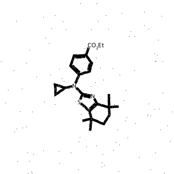 CCOC(=O)c1ccc(N(c2nc3c(s2)C(C)(C)CCC3(C)C)C2CC2)cc1